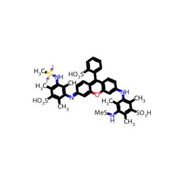 CSNc1c(C)c(Nc2ccc3c(-c4ccccc4S(=O)(=O)O)c4cc/c(=N\c5c(C)c(NS(C)(I)I)c(C)c(S(=O)(=O)O)c5C)cc-4oc3c2)c(C)c(S(=O)(=O)O)c1C